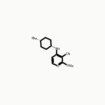 COc1nccc(N[C@H]2CC[C@@H](C(C)(C)C)CC2)c1C#N